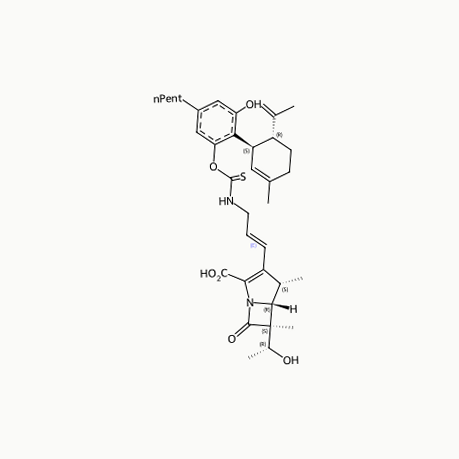 C=C(C)[C@@H]1CCC(C)=C[C@H]1c1c(O)cc(CCCCC)cc1OC(=S)NC/C=C/C1=C(C(=O)O)N2C(=O)[C@](C)([C@@H](C)O)[C@H]2[C@H]1C